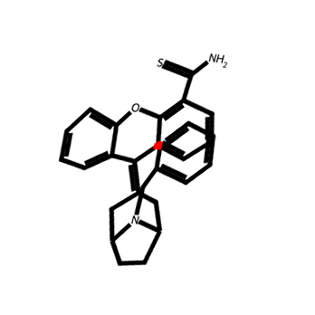 NC(=S)c1cccc2c1Oc1ccccc1C2=C1CC2CCC(C1)N2Cc1ccccn1